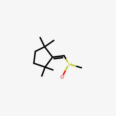 C[S+]([O-])C=C1C(C)(C)CCC1(C)C